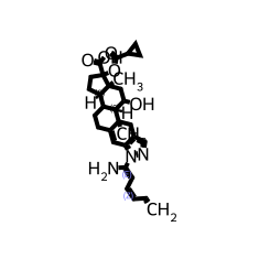 C=C/C=C\C=C(/N)n1ncc2c1C=C1CCC3[C@H](C(O)CC4(C)[C@H]3CCC4(OC(=O)C3CC3)C(=O)O)C1(C)C2